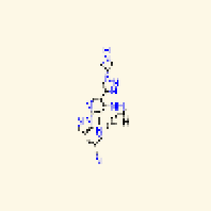 CC(C)Nc1cc(-n2ncc3cc(C#N)cnc32)ncc1-c1cn(C2CNC2)nn1